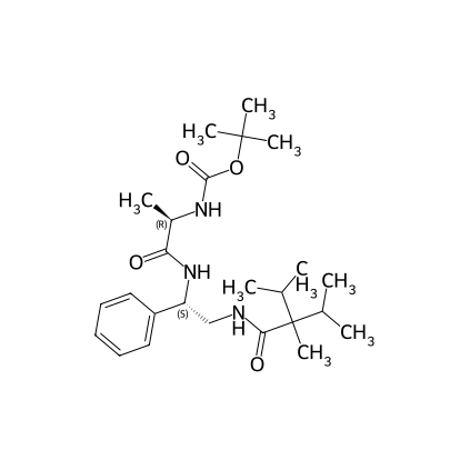 CC(C)C(C)(C(=O)NC[C@@H](NC(=O)[C@@H](C)NC(=O)OC(C)(C)C)c1ccccc1)C(C)C